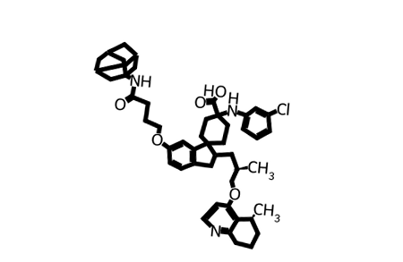 C[C@@H](COc1ccnc2c1[C@H](C)CCC2)CC1Cc2ccc(OCCCC(=O)NC34CC5CC(CC(C5)C3)C4)cc2C12CCC(Nc1cccc(Cl)c1)(C(=O)O)CC2